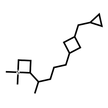 CC(CCCC1CC(CC2CC2)C1)C1CCS1(C)C